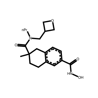 CCCN(CC1COC1)C(=O)C1(C)CCc2cc(C(=O)NO)ccc2C1